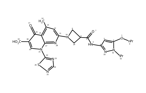 CCCOc1cc(NC(=O)C2CN(c3cc(C)c4c(=O)c(C(=O)O)cn(-c5ncns5)c4n3)C2)nn1C(C)C